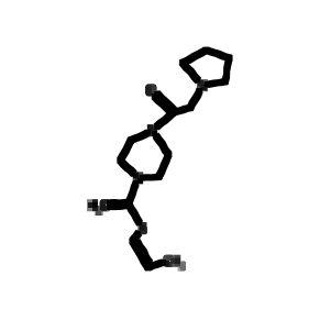 C=C(S/C=C\C)N1CCN(C(=O)CN2CCCC2)CC1